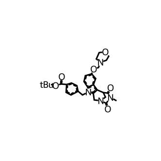 CN1C(=O)C2CN(Cc3c2c2cc(OCN4CCOCC4)ccc2n3Cc2ccc(C(=O)OC(C)(C)C)cc2)C1=O